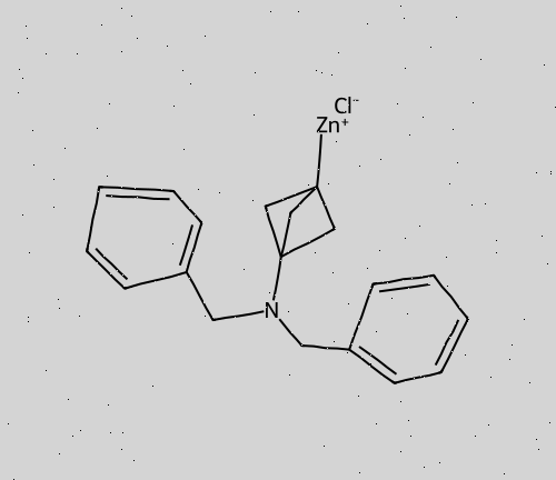 [Cl-].[Zn+][C]12CC(N(Cc3ccccc3)Cc3ccccc3)(C1)C2